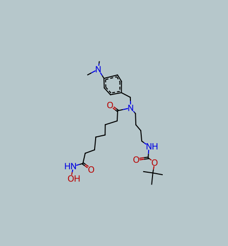 CN(C)c1ccc(CN(CCCCNC(=O)OC(C)(C)C)C(=O)CCCCCCC(=O)NO)cc1